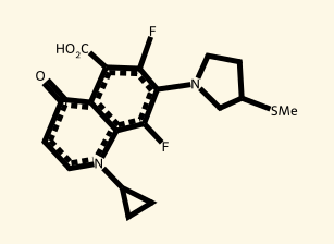 CSC1CCN(c2c(F)c(C(=O)O)c3c(=O)ccn(C4CC4)c3c2F)C1